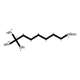 CCCCCCCCCCCCCCCC(CCC)(CCC)CCC